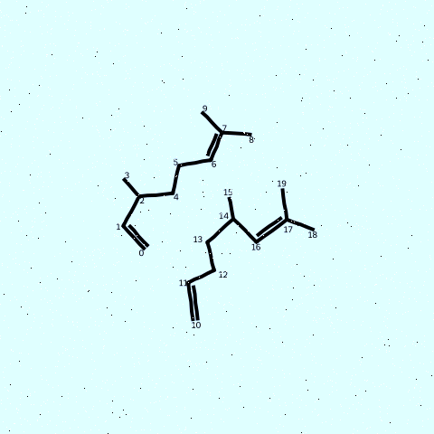 C=CC(C)CCC=C(C)C.C=CCCC(C)C=C(C)C